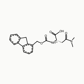 CN(C)C(=O)C[C@H](NC(=O)OCc1cccc2c1Cc1ccccc1-2)C(=O)O